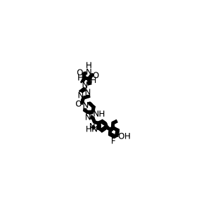 CCc1cc(O)c(F)cc1-c1ccc2c(-c3nc4c([nH]3)CCN(C(=O)c3cnc(N5C[C@@H]6C(=O)NC(=O)[C@@H]6C5)cn3)C4)n[nH]c2c1